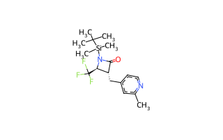 Cc1cc(C[C@H]2C(=O)N([Si](C)(C)C(C)(C)C)[C@@H]2C(F)(F)F)ccn1